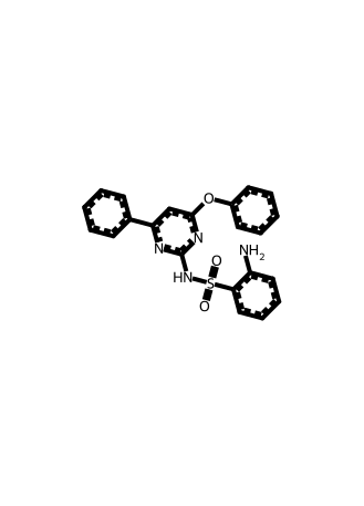 Nc1ccccc1S(=O)(=O)Nc1nc(Oc2ccccc2)cc(-c2ccccc2)n1